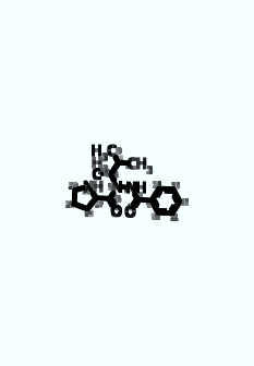 CC(C)[C@@H](C)N(NC(=O)c1ccccc1)C(=O)C1CCCN1